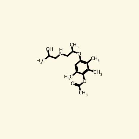 CC(=O)Oc1c(C)cc(OC(C)CNCC(C)O)c(C)c1C